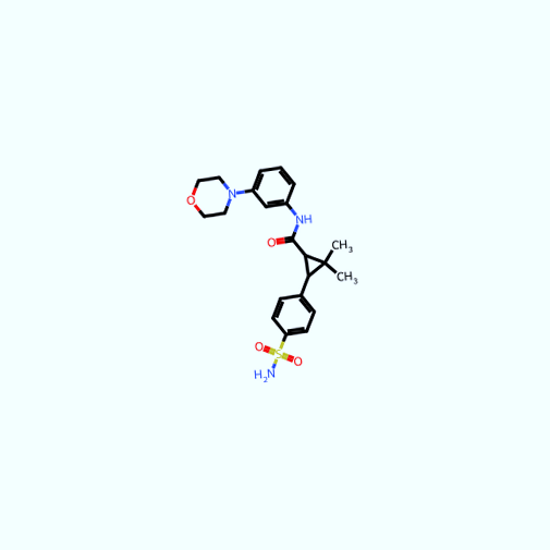 CC1(C)C(C(=O)Nc2cccc(N3CCOCC3)c2)C1c1ccc(S(N)(=O)=O)cc1